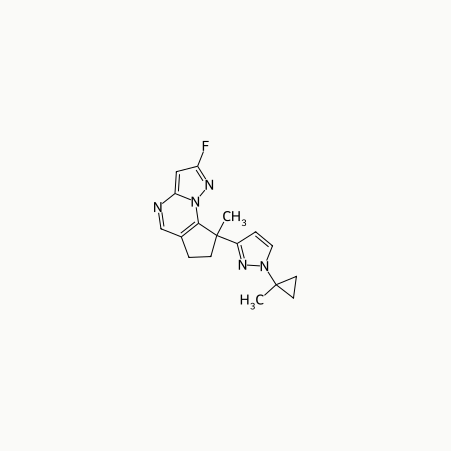 CC1(c2ccn(C3(C)CC3)n2)CCc2cnc3cc(F)nn3c21